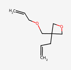 C=CCOCC1(CC=C)COC1